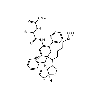 COC(=O)NC(C(=O)NC1=C(c2ccccn2)CC(Cc2ccccc2)(C(CCCCNC(=O)O)[C@H]2CO[C@H]3OC=C[C@H]32)C(O)=C1)C(C)(C)C